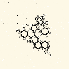 COc1cc([C@@H](Nc2ccc3c(N)nccc3c2)C(=O)N2CCC(C(=O)O)C2c2ccccc2S(=O)(=O)C2CC2)ccc1F